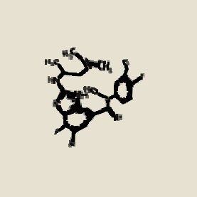 CC(CN(C)C)Nc1nc2c(F)c(F)cc(C(=N)N(O)c3ccc(F)c(Cl)c3)c2[nH]1